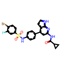 O=C(Nc1cc(-c2ccc(NS(=O)(=O)c3ccc(Br)c(F)c3)cc2)c2cc[nH]c2n1)C1CC1